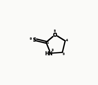 S=C1NCCO1